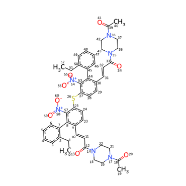 CCc1ccccc1-c1c(/C=C/C(=O)N2CCN(C(C)=O)CC2)ccc(Sc2ccc(/C=C/C(=O)N3CCN(C(C)=O)CC3)c(-c3ccccc3CC)c2[N+](=O)[O-])c1[N+](=O)[O-]